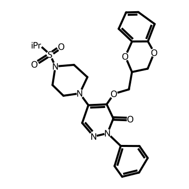 CC(C)S(=O)(=O)N1CCN(c2cnn(-c3ccccc3)c(=O)c2OCC2COc3ccccc3O2)CC1